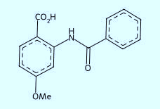 COc1ccc(C(=O)O)c(NC(=O)c2ccccc2)c1